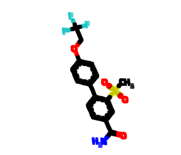 CS(=O)(=O)c1cc(C(N)=O)ccc1-c1ccc(OCC(F)(F)F)cc1